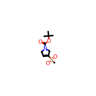 CC(C)(C)OC(=O)N1CC=C(S(C)(=O)=O)C1